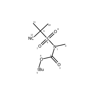 CN(C(=O)OC(C)(C)C)S(=O)(=O)C(C)(C)C#N